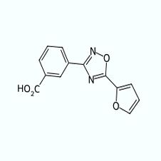 O=C(O)c1cccc(-c2noc(-c3ccco3)n2)c1